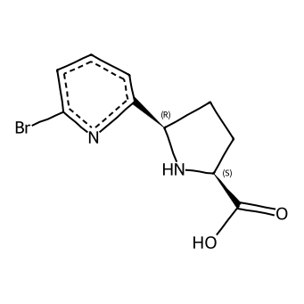 O=C(O)[C@@H]1CC[C@H](c2cccc(Br)n2)N1